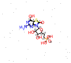 Nc1nc(O)c2sc(=O)n(C3OC(CCP(=O)(O)O)C(O)C3O)c2n1